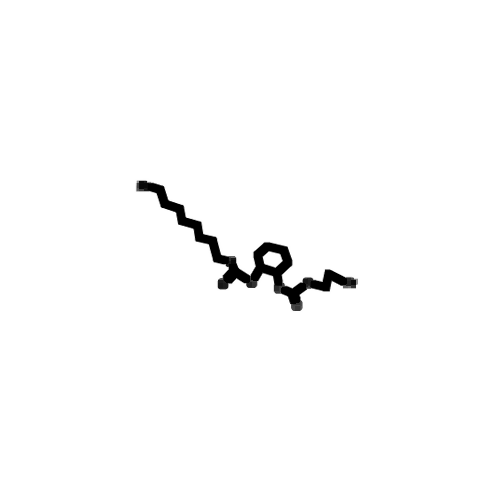 CC(C)CCCCCCCCOC(=O)OC1CCCCC1OC(=O)OCCC(C)C